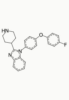 Fc1ccc(Oc2ccc(-n3c(C4CCNCC4)nc4ccccc43)cc2)cc1